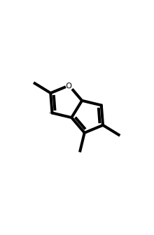 CC1=[C]C2=C(C)C(C)=CC2O1